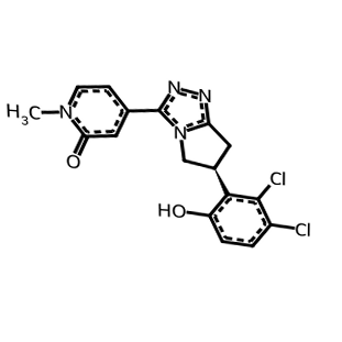 Cn1ccc(-c2nnc3n2C[C@H](c2c(O)ccc(Cl)c2Cl)C3)cc1=O